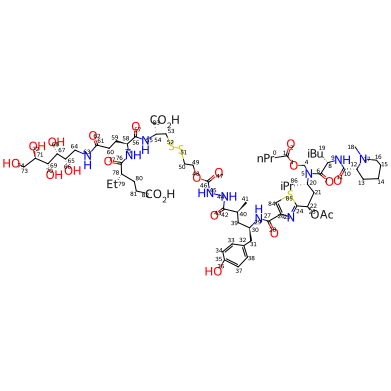 CCCC(=O)OCN(C(=O)[C@@H](NC(=O)[C@H]1CCCCN1C)C(C)CC)[C@H](C[C@@H](OC(C)=O)c1nc(C(=O)N[C@@H](Cc2ccc(O)cc2)C[C@H](C)C(=O)NNC(=O)OCCSSC[C@H](NC(=O)[C@H](CCC(=O)NC[C@H](O)[C@@H](O)[C@H](O)[C@H](O)CO)NC(=O)[C@@H](CC)CCC(=O)O)C(=O)O)cs1)C(C)C